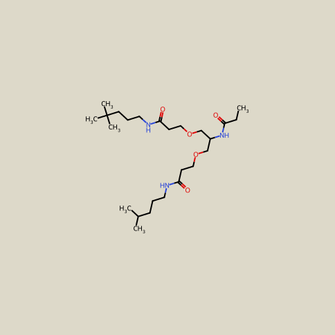 CCC(=O)NC(COCCC(=O)NCCCC(C)C)COCCC(=O)NCCCC(C)(C)C